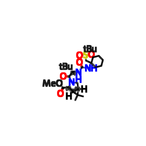 COC(=O)[C@@H]1[C@@H]2[C@H](CN1C(=O)[C@@H](NC(=O)NC1(CS(=O)(=O)C(C)(C)C)CCCCC1)C(C)(C)C)C2(C)C